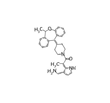 C/C(C(=O)N1CCC(=C2c3ccccc3OC(C)c3ccccc32)CC1)=c1/[nH]cc/c1=C/N